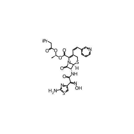 CC(C)CC(=O)O[C@H](C)OC(=O)C1=C(/C=C\c2cccnc2)CS[C@H]2[C@H](NC(=O)C(=NO)c3csc(N)n3)C(=O)N12